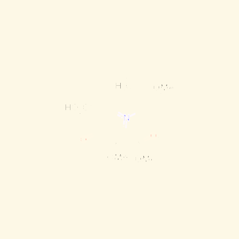 COC(=O)c1c(OC)c(=O)c(C(=O)O)cn1CC(C)OC